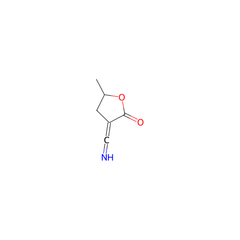 CC1CC(=C=N)C(=O)O1